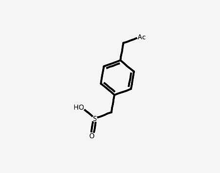 CC(=O)Cc1ccc(CS(=O)O)cc1